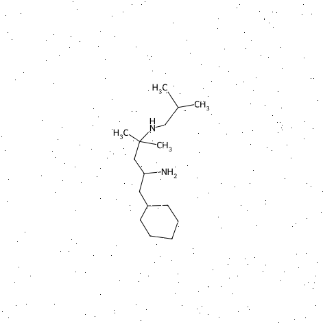 CC(C)CNC(C)(C)CC(N)CC1CCCCC1